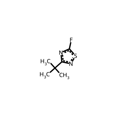 CC(C)(C)c1nsc(F)n1